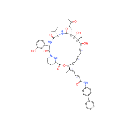 CC(=O)CC[C@H]1C(=O)N[C@@H](C(C)C)C(=O)NC(c2cccc(O)c2)C(=O)N2CCCC(N2)C(=O)O[C@H](/C(C)=C/C=C/C(=O)Nc2ccc(-c3ccccc3)cc2)C/C=C/C=C/[C@H](O)[C@H](C)[C@H]1O